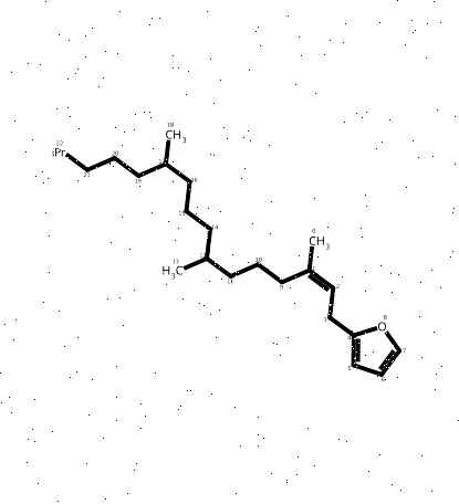 CC(=CCc1ccco1)CCCC(C)CCCC(C)CCCC(C)C